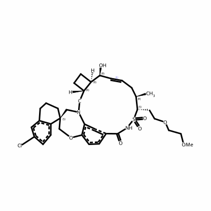 COCCOCC[C@H]1[C@H](C)C/C=C/[C@H](O)[C@@H]2CC[C@H]2CN2C[C@@]3(CCCc4cc(Cl)ccc43)COc3ccc(cc32)C(=O)NS1(=O)=O